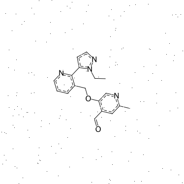 CCn1nccc1-c1ncccc1COc1cnc(C)cc1C=O